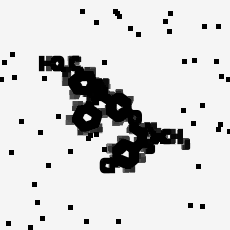 Cc1nc(COc2ccc(-c3nc4cc(C(=O)O)ccc4n3C3CCCCC3)cc2)c(-c2ccc(Cl)cc2)s1